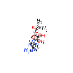 CC(C)C(=O)OC[C@H]1O[C@@H](n2cnc3c(N)ncnc32)[C@H](O)[C@@H]1O